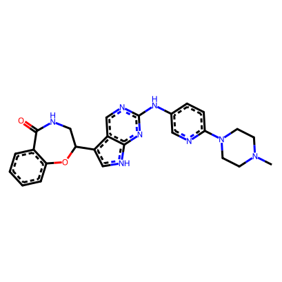 CN1CCN(c2ccc(Nc3ncc4c(C5CNC(=O)c6ccccc6O5)c[nH]c4n3)cn2)CC1